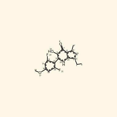 CCn1nc(C)c2c(=O)c(O)c(-c3c(F)cc(OC)cc3F)[nH]c21